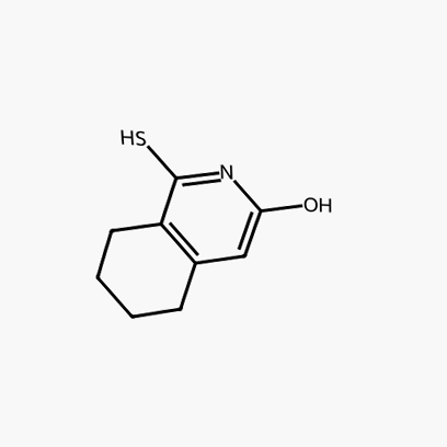 Oc1cc2c(c(S)n1)CCCC2